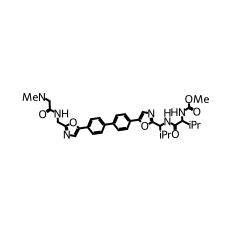 CNCC(=O)NCc1ncc(-c2ccc(-c3ccc(-c4cnc(C(NC(=O)C(NC(=O)OC)C(C)C)C(C)C)o4)cc3)cc2)o1